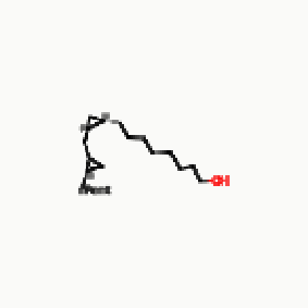 CCCCC[C@@H]1CC1C[C@H]1C[C@@H]1CCCCCCCCO